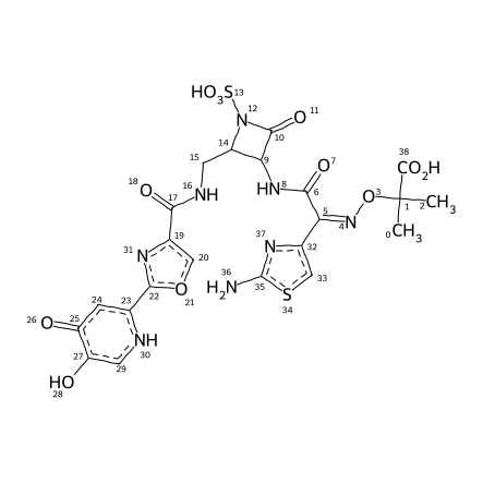 CC(C)(O/N=C(\C(=O)NC1C(=O)N(S(=O)(=O)O)C1CNC(=O)c1coc(-c2cc(=O)c(O)c[nH]2)n1)c1csc(N)n1)C(=O)O